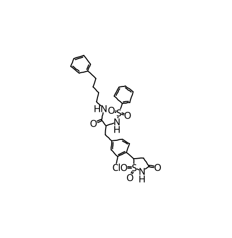 O=C1CC(c2ccc(CC(NS(=O)(=O)c3ccccc3)C(=O)NCCCCc3ccccc3)cc2Cl)S(=O)(=O)N1